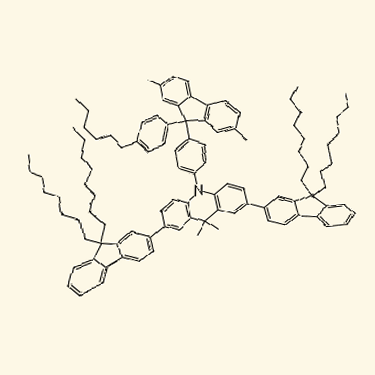 CCCCCCCCC1(CCCCCCCC)c2ccccc2-c2ccc(-c3ccc4c(c3)C(C)(C)c3cc(-c5ccc6c(c5)C(CCCCCCCC)(CCCCCCCC)c5ccccc5-6)ccc3N4c3ccc(C4(c5ccc(CCCCCC)cc5)c5cc(C)ccc5-c5ccc(C)cc54)cc3)cc21